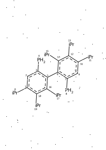 CC(C)c1cc(P)c(-c2c(P)cc(C(C)C)c(C(C)C)c2C(C)C)c(C(C)C)c1C(C)C